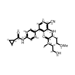 COCC[C@H](Nc1cc(-c2cnc(NC(=O)C3CC3)cn2)cnc1C#N)C(=O)N(C)CCO